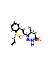 C=CC[S+]([O-])c1ccccc1C=CC1=NNC(=O)CC1C